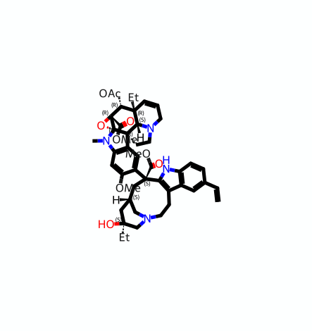 C=Cc1ccc2[nH]c3c(c2c1)CCN1C[C@H](C[C@@](O)(CC)C1)C[C@]3(C(=O)OC)c1cc2c(cc1OC)N(C)[C@@]13O[C@]1(C(=O)OC)[C@H](OC(C)=O)[C@]1(CC)C=CCN4CC[C@]23[C@@H]41